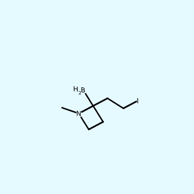 BC1(CCI)CCN1C